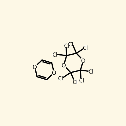 C1=COC=CO1.ClC1(Cl)OC(Cl)(Cl)C(Cl)(Cl)OC1(Cl)Cl